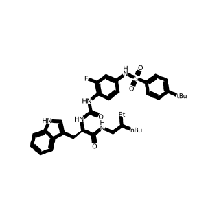 CCCCC(CC)CNC(=O)[C@@H](Cc1c[nH]c2ccccc12)NC(=O)Nc1ccc(NS(=O)(=O)c2ccc(C(C)(C)C)cc2)cc1F